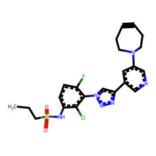 CCCS(=O)(=O)Nc1ccc(F)c(-n2cc(-c3cncc(N4CCC#CCC4)c3)nn2)c1Cl